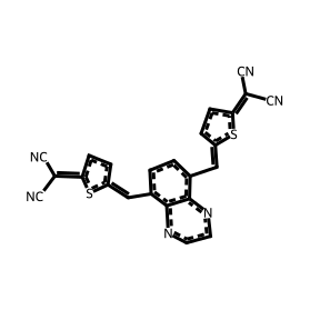 N#CC(C#N)=c1cc/c(=C\c2ccc(/C=c3\ccc(=C(C#N)C#N)s3)c3nccnc23)s1